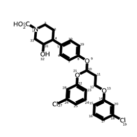 O=C(O)N1CCC(c2ccc(OC(CCOc3cccc(Cl)c3)Oc3cccc(Cl)c3)cc2)C(O)C1